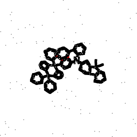 CC1(C)c2ccccc2-c2ccc(N(c3ccc4c(c3)-c3ccccc3C43c4ccccc4C(c4ccccc4)(c4ccccc4)c4ccccc43)c3ccccc3-c3ccccc3)cc21